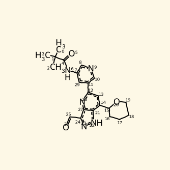 CC(C)(C)C(=O)Nc1cncc(-c2cc(C3CCCCO3)c3[nH]nc(C=O)c3n2)c1